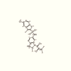 Cc1c(S(=O)(=O)Nc2ccc3c(c2)C(C(=O)C(=O)N(C)C)C(C)N3)sc2ccc(Cl)cc12